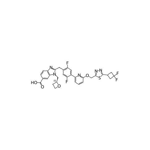 O=C(O)c1ccc2nc(Cc3cc(F)c(-c4cccc(OCc5nnc(C6CC(F)(F)C6)s5)n4)cc3F)n(C[C@@H]3CCO3)c2c1